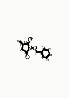 C=C1CC(=O)N(OCc2ccccc2)C1=O